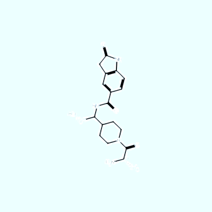 CC(NC(=O)c1ccc2c(c1)CC(=O)N2)C1CCN(C(=O)[C@H](C)N)CC1.Cl